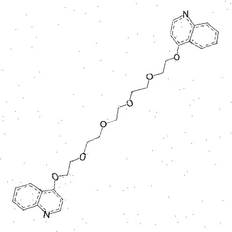 c1ccc2c(OCCOCCOCCOCCOCCOc3ccnc4ccccc34)ccnc2c1